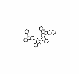 c1ccc(-n2c3ccccc3c3cc(-c4nc(-n5c6ccccc6c6c7c8cc9ccccc9cc8n8c9ccccc9c(cc65)c78)nc5ccccc45)ccc32)cc1